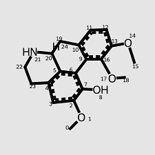 COc1cc2c3c(c1O)-c1c(ccc(OC)c1OC)C[C@@H]3NCC2